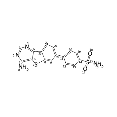 Nc1ncnc2c1sc1cc(-c3ccc(S(N)(=O)=O)cc3)ccc12